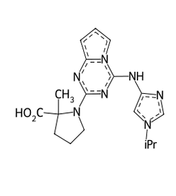 CC(C)n1cnc(Nc2nc(N3CCCC3(C)C(=O)O)nc3cccn23)c1